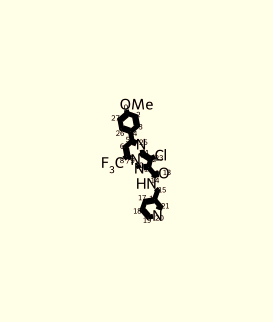 COc1ccc(-c2cc(C(F)(F)F)n3nc(C(=O)NCc4cccnc4)c(Cl)c3n2)cc1